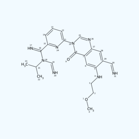 COCCNc1cc2c(=O)n(-c3cccc(C(=N)N(C=N)C(C)C)n3)cnc2cc1C=N